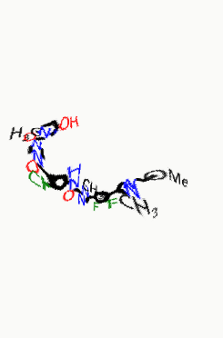 COCCn1cc(-c2ccc(-c3cnc(C(=O)Nc4ccc(C(=O)N5CCN(C(=O)C[N+]6(C)CCC(O)C6)CC5)c(Cl)c4)n3C)c(F)c2F)c(C)n1